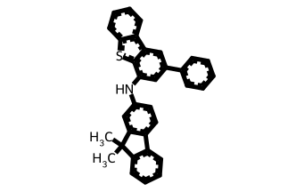 CC1(C)c2ccccc2-c2ccc(Nc3cc(-c4ccccc4)cc4c3sc3ccccc34)cc21